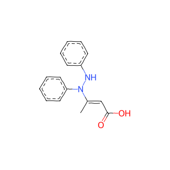 CC(=CC(=O)O)N(Nc1ccccc1)c1ccccc1